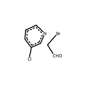 Clc1cccnc1.O=CCBr